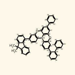 CC1(C)c2ccccc2-c2c(-c3ccc4c(c3)Oc3cc(-c5ccccc5)cc5c3N4c3ccc(-c4ccccc4-c4ccccc4)cc3O5)cccc21